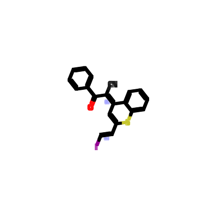 N#C/C(C(=O)c1ccccc1)=C1C=C(/C=C/I)Sc2ccccc2/1